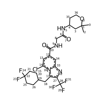 CC1(C)CC(NC(=O)CNC(=O)c2cc(Cl)n3c(CC4CCC(F)(F)CC4)c(C(F)(F)F)nc3c2)CCO1